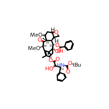 CO[C@H]1C(=O)[C@@]2(C)C([C@@H]3CO[C@@H]3C[C@@H]2OC)[C@H](OC(=O)c2ccccc2)[C@]2(O)C[C@H](OC(=O)[C@H](O)[C@@H](NC(=O)OC(C)(C)C)c3ccccc3)C(C)=C1C2(C)C